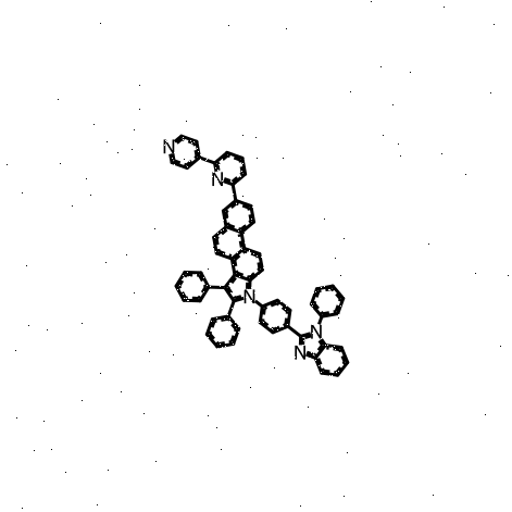 c1ccc(-c2c(-c3ccccc3)n(-c3ccc(-c4nc5ccccc5n4-c4ccccc4)cc3)c3ccc4c5ccc(-c6cccc(-c7ccncc7)n6)cc5ccc4c23)cc1